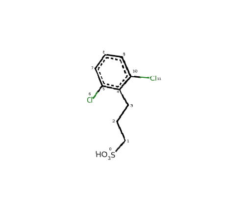 O=S(=O)(O)CCCc1c(Cl)cccc1Cl